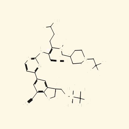 C=C=C/C(Nc1nccc(-c2cc(C#N)c3c(c2)[C@@](C)(CO[Si](C)(C)C(C)(C)C)CN3)n1)=C(/CCC(C)C)N(C)CC1CCN(CC(F)(F)F)CC1